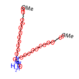 COOCOCCCCCOCCOCCOCCOCCOCCOCCOCCOCCOCCN(CCOCCOCCOCCOCCOCCOCCOCCOCCOCCCCCOCOOC)C(=O)c1cnc(C(N)=O)cn1